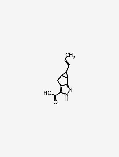 C/C=C/C1C2Cc3c(n[nH]c3C(=O)O)C12